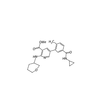 COC(=O)c1cc(-c2cc(C(=O)NC3CC3)ccc2C)cnc1NC1CCCOC1